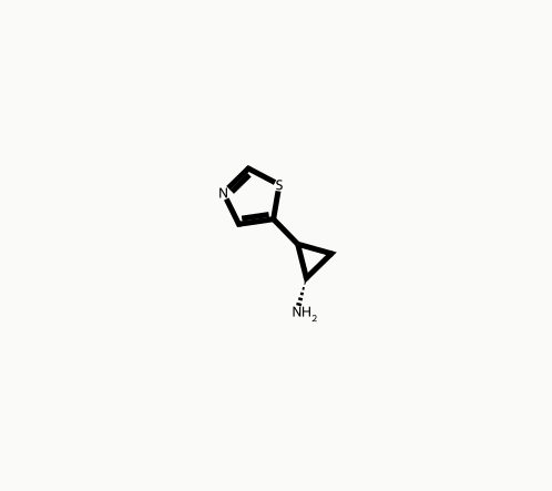 N[C@H]1CC1c1cncs1